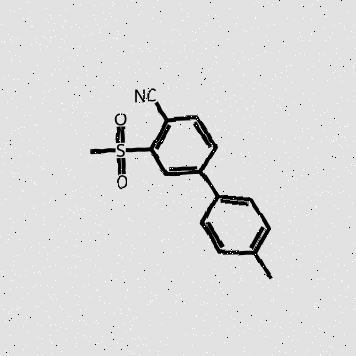 Cc1ccc(-c2ccc(C#N)c(S(C)(=O)=O)c2)cc1